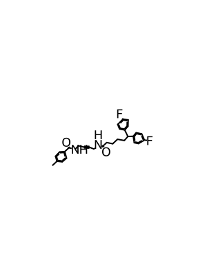 Cc1ccc(C(=O)NCC#CCNC(=O)CCCCC(c2ccc(F)cc2)c2ccc(F)cc2)cc1